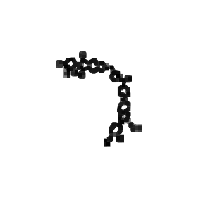 C#C[C@H]1CC2(CCN(c3ccc(C(=O)N4CC[C@@H](CN5Cc6cc7c(cc6C5)C(=O)N(C5CCC(=O)NC5=O)C7=O)C4)cc3)CC2)CN1c1ccc(C#N)c(Cl)c1